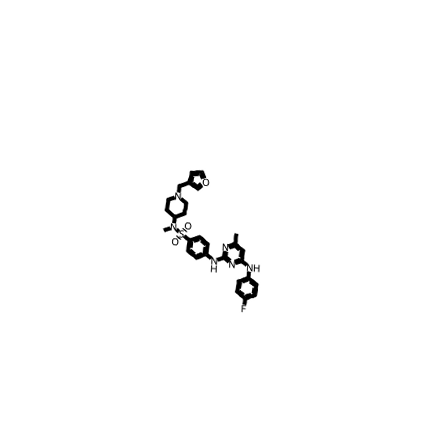 Cc1cc(Nc2ccc(F)cc2)nc(Nc2ccc(S(=O)(=O)N(C)C3CCN(Cc4ccoc4)CC3)cc2)n1